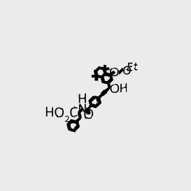 CCOCCOc1cc(C(O)C#Cc2ccc(C(=O)NC(Cc3ccccc3)C(=O)O)cc2)cc2c1C(C)(C)CCC2(C)C